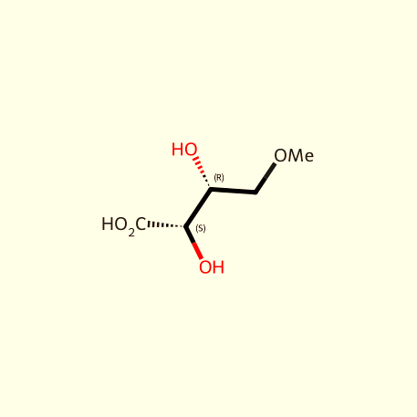 COC[C@@H](O)[C@H](O)C(=O)O